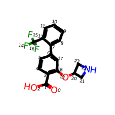 O=C(O)c1ccc(-c2ccccc2C(F)(F)F)cc1OC1CNC1